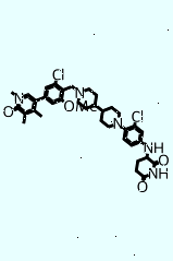 COc1cc(-c2cn(C)c(=O)c(C)c2C)cc(Cl)c1CN1CCC(C2CCN(c3ccc(NC4CCC(=O)NC4=O)cc3Cl)CC2)CC1